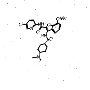 COc1cccc2c(NC(=O)[C@H]3CC[C@H](N(C)C)CC3)c(C(=O)Nc3ccc(Cl)cn3)oc12